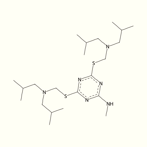 CNc1nc(SCN(CC(C)C)CC(C)C)nc(SCN(CC(C)C)CC(C)C)n1